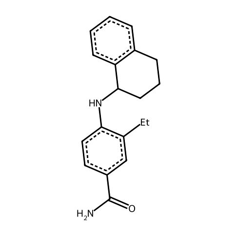 CCc1cc(C(N)=O)ccc1NC1CCCc2ccccc21